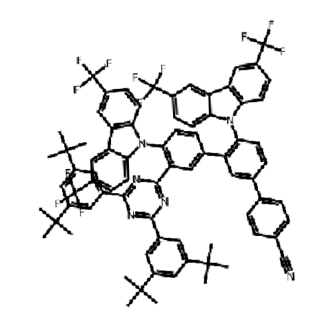 CC(C)(C)c1cc(-c2nc(-c3cc(C(C)(C)C)cc(C(C)(C)C)c3)nc(-c3cc(-c4cc(-c5ccc(C#N)cc5)ccc4-n4c5ccc(C(F)(F)F)cc5c5cc(C(F)(F)F)ccc54)ccc3-n3c4ccc(C(F)(F)F)cc4c4cc(C(F)(F)F)ccc43)n2)cc(C(C)(C)C)c1